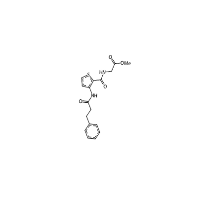 COC(=O)CNC(=O)c1sccc1NC(=O)CCc1ccccc1